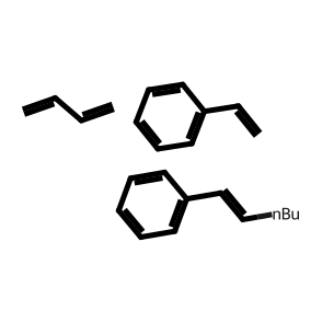 C=CC=C.C=Cc1ccccc1.CCCCC=Cc1ccccc1